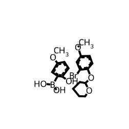 COc1ccc(O)c(B(O)O)c1.COc1ccc(OC2CCCCO2)c(Br)c1